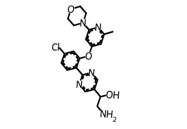 Cc1cc(Oc2cc(Cl)ccc2-c2ncc(C(O)CN)cn2)cc(N2CCOCC2)n1